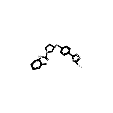 O=C(Nc1ccccc1F)N1CC[C@@H](Oc2ccc(-c3noc(C(F)(F)F)n3)cc2)C1